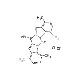 CCCCP1C2=Cc3c(C)ccc(C)c3[CH]2[Ti+2][CH]2C1=Cc1c(C)ccc(C)c12.[Cl-].[Cl-]